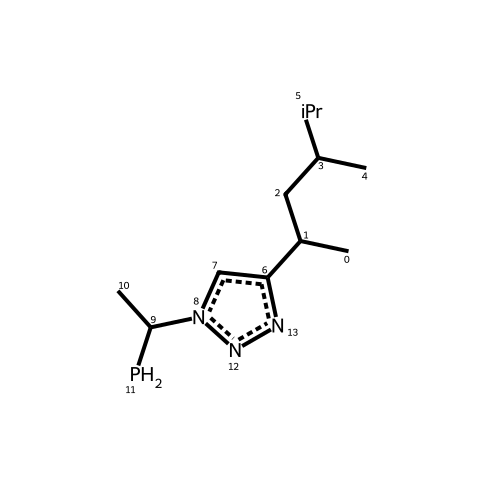 CC(CC(C)C(C)C)c1cn(C(C)P)nn1